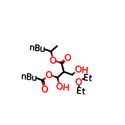 CCCCC(=O)OC(O)C(CO)C(=O)OC(C)CCCC.CCOCC